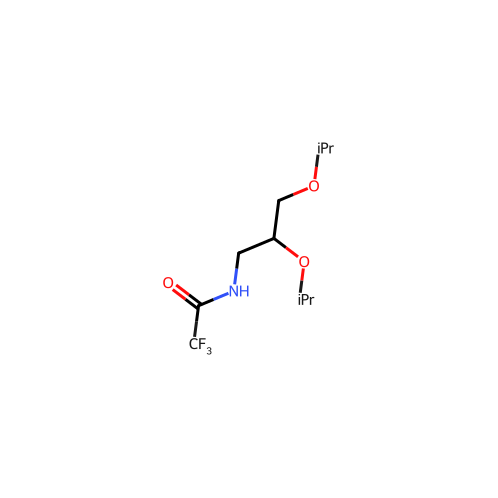 CC(C)OCC(CNC(=O)C(F)(F)F)OC(C)C